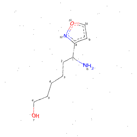 NC(CCCCCO)c1ccon1